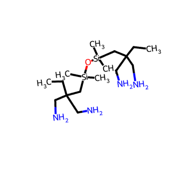 CCC(CN)(CN)C[Si](C)(C)O[Si](C)(C)CC(CC)(CN)CN